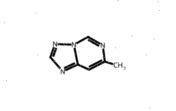 Cc1cc2ncnn2cn1